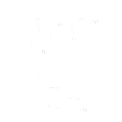 COC(=O)OC1CN(CCC2=Cc3ccc(OC)cc32)CCC1=O